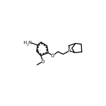 COc1cc(N)ccc1OCCN1CC2CCC1C2